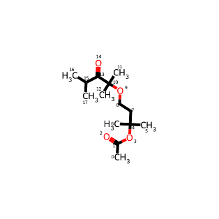 CC(=O)OC(C)(C)CCOC(C)(C)C(=O)C(C)C